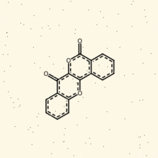 O=c1oc2c(=O)c3ccccc3oc2c2ccccc12